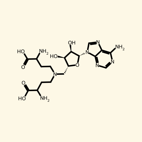 Nc1ncnc2c1ncn2[C@@H]1O[C@H](CN(CCC(N)C(=O)O)CCC(N)C(=O)O)[C@@H](O)[C@H]1O